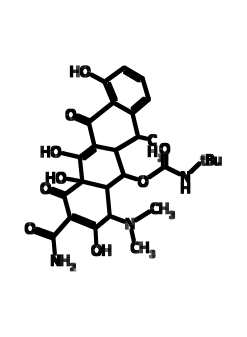 CC1c2cccc(O)c2C(=O)C2=C(O)C3(O)C(=O)C(C(N)=O)=C(O)C(N(C)C)C3C(OC(=O)NC(C)(C)C)C21